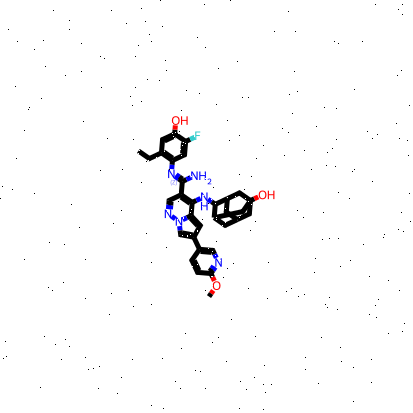 CCc1cc(O)c(F)cc1/N=C(\N)c1cnn2cc(-c3ccc(OC)nc3)cc2c1NC1C2CC3CC1CC(O)(C3)C2